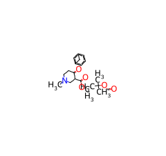 CC(C)(C)OC=O.COC(=O)C1CN(C)CCC1=O.c1cc2cc(c1)C2